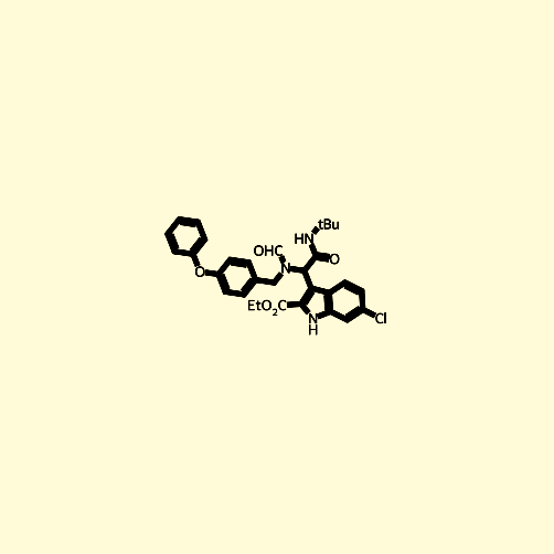 CCOC(=O)c1[nH]c2cc(Cl)ccc2c1C(C(=O)NC(C)(C)C)N(C=O)Cc1ccc(Oc2ccccc2)cc1